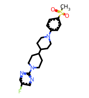 CS(=O)(=O)c1ccc(N2CCC(C3CCN(c4ncc(F)cn4)CC3)CC2)cc1